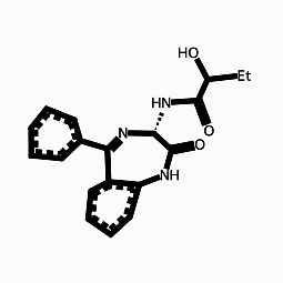 CCC(O)C(=O)N[C@H]1N=C(c2ccccc2)c2ccccc2NC1=O